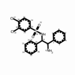 NC(c1ccccc1)C(NS(=O)(=O)c1ccc(Cl)c(Cl)c1)c1ccccc1